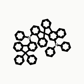 c1ccc(N(c2cccc3c2-c2ccccc2C3(c2ccccc2)c2ccccc2)c2cccc3c2-c2ccccc2C32c3ccccc3-c3c2cc(N(c2ccccc2)c2ccccc2)c2ccccc32)cc1